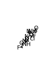 O=C1C=C(c2c(F)c(Cl)c(-c3cn4cc(NC(=O)C5CC5F)nc4cn3)c3cn[nH]c23)CC1